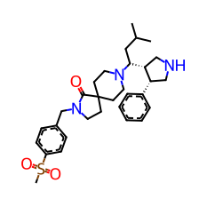 CC(C)CC([C@@H]1CNC[C@@H]1c1ccccc1)N1CCC2(CCN(Cc3ccc(S(C)(=O)=O)cc3)C2=O)CC1